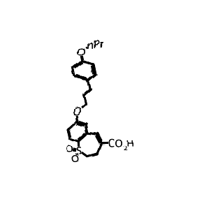 CCCOc1ccc(CCCOc2ccc3c(c2)C=C(C(=O)O)CCS3(=O)=O)cc1